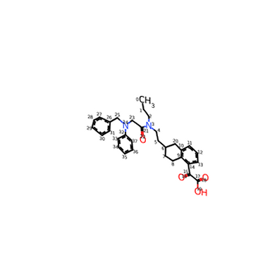 CCCN(CCC1CCc2c(cccc2C(=O)C(=O)O)C1)C(=O)CN(Cc1ccccc1)c1ccccc1